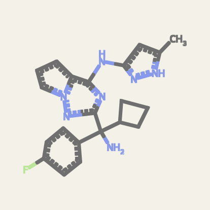 Cc1cc(Nc2nc(C(N)(c3ccc(F)cc3)C3CCC3)nn3cccc23)n[nH]1